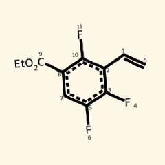 C=Cc1c(F)c(F)cc(C(=O)OCC)c1F